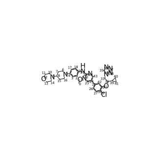 COc1cc(N2CCC(N3CCOCC3)CC2)ccc1Nc1ncc(-c2ccc(Cl)c(OC(Cn3cnnn3)C3CC3)c2)cn1